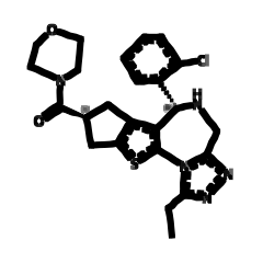 CCc1nnc2n1-c1sc3c(c1[C@H](c1ccccc1Cl)NC2)C[C@H](C(=O)N1CCOCC1)C3